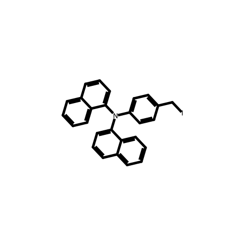 ICc1ccc(N(c2cccc3ccccc23)c2cccc3ccccc23)cc1